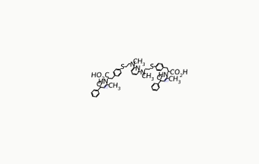 C/C(=C/C(=O)c1ccccc1)NC(Cc1ccc(SCCN(C)c2cccc(N(C)CCSc3ccc(CC(N/C(C)=C\C(=O)c4ccccc4)C(=O)O)cc3)n2)cc1)C(=O)O